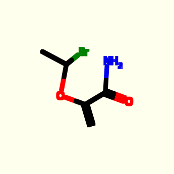 C=C(OC(C)Br)C(N)=O